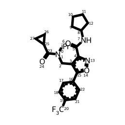 CC(C)N(Cc1c(C(=O)NC2CCCC2)noc1-c1ccc(C(F)(F)F)cc1)C(=O)C1CC1